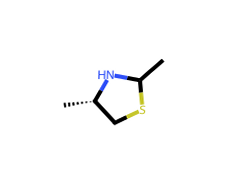 CC1N[C@@H](C)CS1